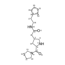 O=C(CC1CNC(C(=O)N2CCSC2)C1)NCCc1cccs1